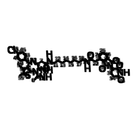 CC(=N)N1C(=N)[C@H](CC(=O)NCCCCCCCCNC(=O)Cc2cccc3c2C(=O)N(C2CCC(=O)NC2=O)C3=O)N=C(c2ccc(Cl)cc2)c2c1sc(C)c2C